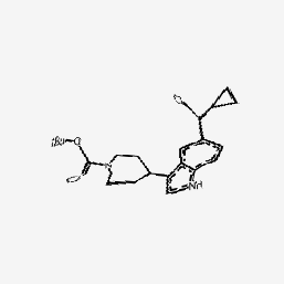 CC(C)(C)OC(=O)N1CCC(c2c[nH]c3ccc([C@@H](Cl)C4CC4)cc23)CC1